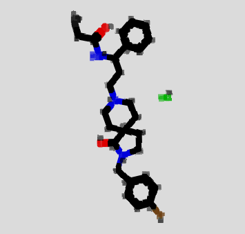 CC(C)CC(=O)NC(CCN1CCC2(CC1)CCN(Cc1ccc(Br)cc1)C2=O)c1ccccc1.Cl